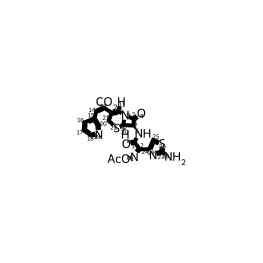 CC(=O)O/N=C(\C(=O)N[C@@H]1C(=O)N2C(C(=O)O)=C(/C=C\c3cccnc3)CS[C@H]12)c1csc(N)n1